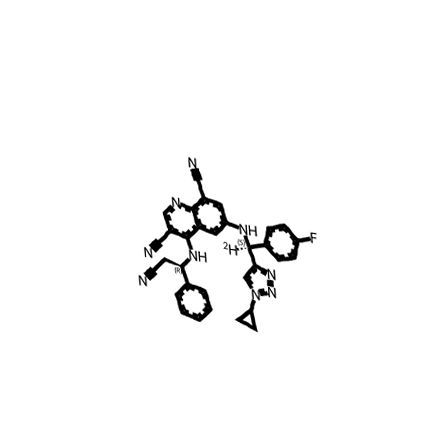 [2H][C@](Nc1cc(C#N)c2ncc(C#N)c(N[C@H](CC#N)c3ccccc3)c2c1)(c1ccc(F)cc1)c1cn(C2CC2)nn1